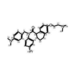 CC(C)c1ccc(N(Cc2ccc(N(C)C)cc2)C(=O)C2CCCc3cc(OCCN(C)C)ccc32)cc1